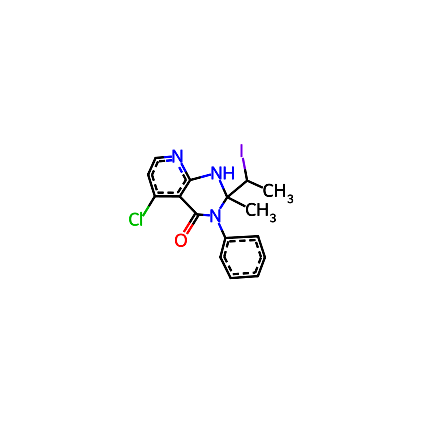 CC(I)C1(C)Nc2nccc(Cl)c2C(=O)N1c1ccccc1